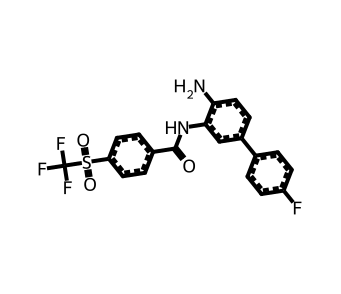 Nc1ccc(-c2ccc(F)cc2)cc1NC(=O)c1ccc(S(=O)(=O)C(F)(F)F)cc1